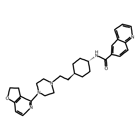 O=C(N[C@H]1CC[C@H](CCN2CCN(c3nccc4c3CCO4)CC2)CC1)c1ccc2ncccc2c1